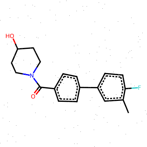 Cc1cc(-c2ccc(C(=O)N3CCC(O)CC3)cc2)ccc1F